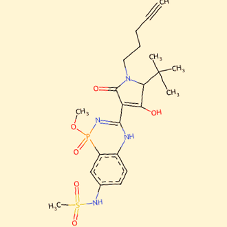 C#CCCCN1C(=O)C(C2=NP(=O)(OC)c3cc(NS(C)(=O)=O)ccc3N2)=C(O)C1C(C)(C)C